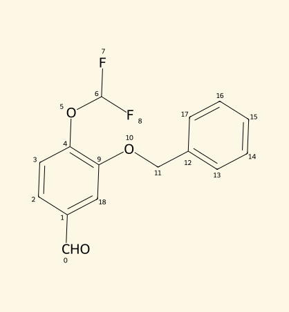 O=Cc1ccc(OC(F)F)c(OCc2ccccc2)c1